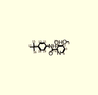 COc1ccnc(C(=O)Nc2ccc(C(C)(C)C)cc2)c1O